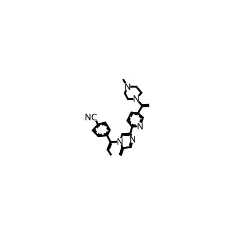 C=C(c1ccc(C2=CN(/C(=C\C)c3ccc(C#N)cc3)C(=C)C=N2)nc1)N1CCN(C)CC1